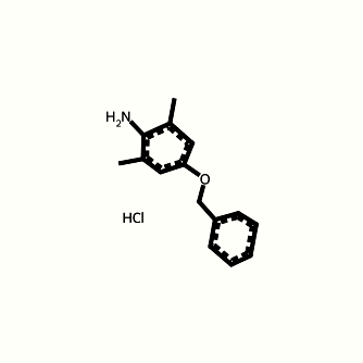 Cc1cc(OCc2ccccc2)cc(C)c1N.Cl